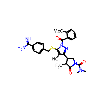 COc1ccccc1C(=O)n1nc(C2CN(C(=O)N(C)C)C(=O)C2C(F)(F)F)c(C#N)c1SCc1ccc(C(=N)N)cc1